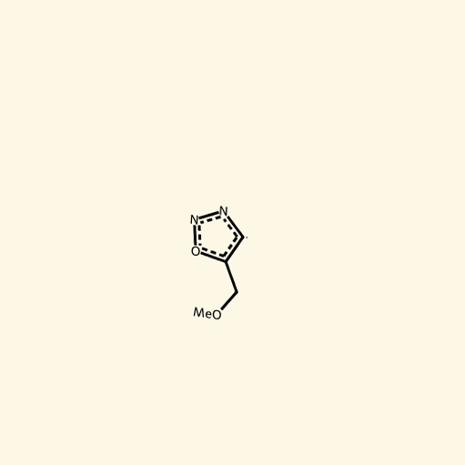 COCc1[c]nno1